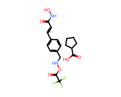 O=C(/C=C/c1ccc(CNOC(=O)C(F)(F)F)cc1)NO.O=C(O)C1CCCC1